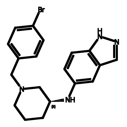 Brc1ccc(CN2CCC[C@@H](Nc3ccc4[nH]ncc4c3)C2)cc1